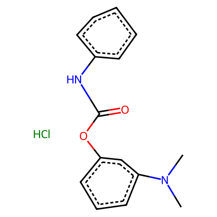 CN(C)c1cccc(OC(=O)Nc2ccccc2)c1.Cl